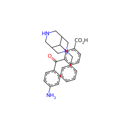 Nc1ccc(C(=O)c2cccc(C(=O)O)c2C2C3CNCC2CN(Cc2ccccc2)C3)cc1